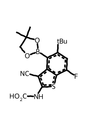 CC1(C)COB(c2c(C(C)(C)C)cc(F)c3sc(NC(=O)O)c(C#N)c23)O1